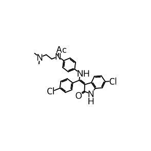 CC(=O)N(CCN(C)C)c1ccc(NC(=C2C(=O)Nc3cc(Cl)ccc32)c2ccc(Cl)cc2)cc1